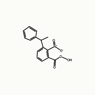 CC(c1ccccc1)c1cccc(C(=O)OO)c1[N+](=O)[O-]